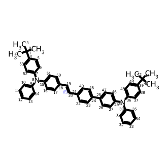 CC(C)(C)c1ccc(N(c2ccccc2)c2ccc(/C=C/c3ccc(-c4ccc(N(c5ccccc5)c5ccc(C(C)(C)C)cc5)cc4)cc3)cc2)cc1